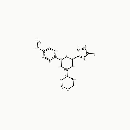 Cc1noc(C2CC(c3ccc(OC(F)(F)F)cc3)CN(C3COCC[N]3)C2)n1